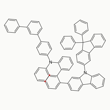 c1ccc(-c2cccc(-c3ccc(N(c4ccccc4)c4ccccc4-c4ccccc4-c4ccc5c6ccccc6n(-c6ccc7c(c6)-c6ccccc6C7(c6ccccc6)c6ccccc6)c5c4)cc3)c2)cc1